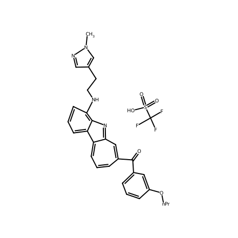 CCCOc1cccc(C(=O)c2cccc3c4cccc(NCCc5cnn(C)c5)c4nc-3c2)c1.O=S(=O)(O)C(F)(F)F